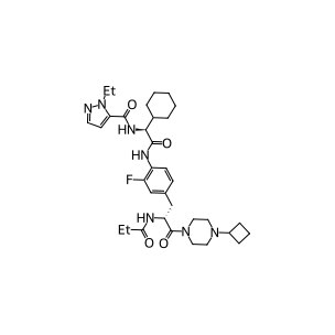 CCC(=O)N[C@H](Cc1ccc(NC(=O)[C@@H](NC(=O)c2ccnn2CC)C2CCCCC2)c(F)c1)C(=O)N1CCN(C2CCC2)CC1